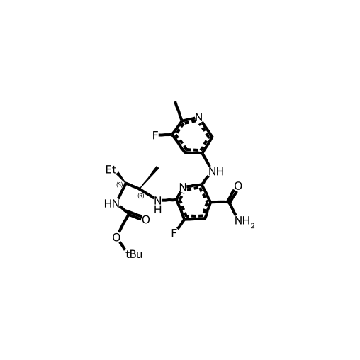 CC[C@H](NC(=O)OC(C)(C)C)[C@@H](C)Nc1nc(Nc2cnc(C)c(F)c2)c(C(N)=O)cc1F